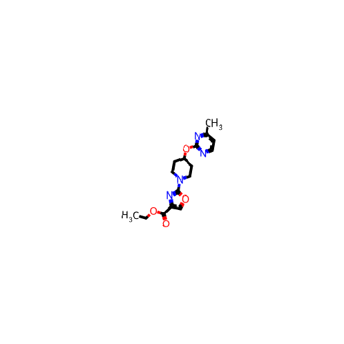 CCOC(=O)c1coc(N2CCC(Oc3nccc(C)n3)CC2)n1